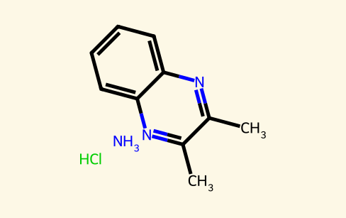 Cc1nc2ccccc2nc1C.Cl.N